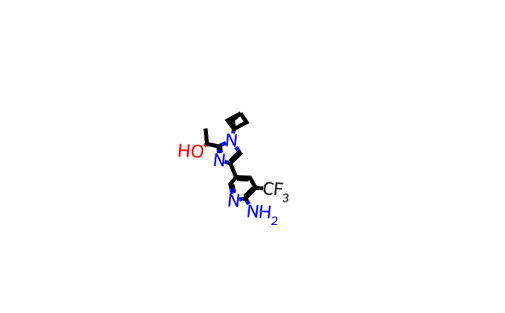 CC(O)c1nc(-c2cnc(N)c(C(F)(F)F)c2)cn1C12CC(C1)C2